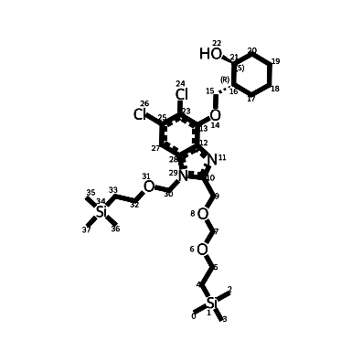 C[Si](C)(C)CCOCOCc1nc2c(OC[C@H]3CCCC[C@@H]3O)c(Cl)c(Cl)cc2n1COCC[Si](C)(C)C